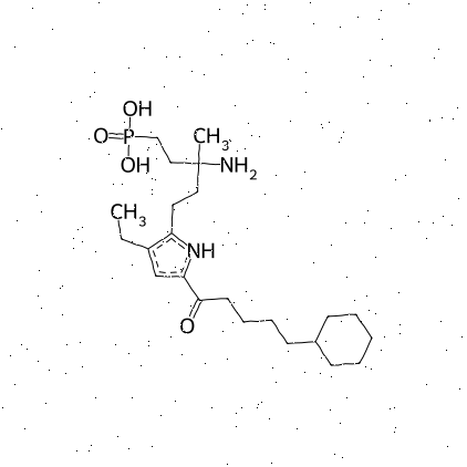 CCc1cc(C(=O)CCCCC2CCCCC2)[nH]c1CCC(C)(N)CCP(=O)(O)O